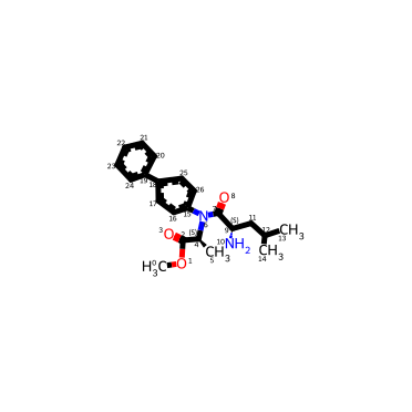 COC(=O)[C@H](C)N(C(=O)[C@@H](N)CC(C)C)c1ccc(-c2ccccc2)cc1